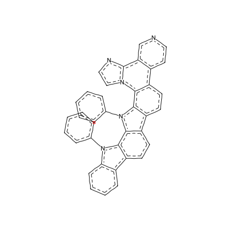 c1ccc(-n2c3ccccc3c3ccc4c5ccc6c7ccncc7c7nccn7c6c5n(-c5ccccc5)c4c32)cc1